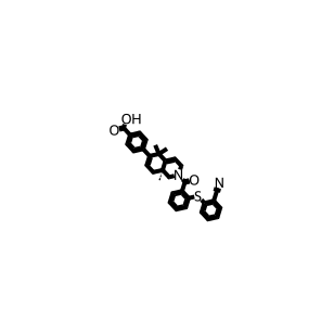 CC1(C)C(c2ccc(C(=O)O)cc2)=CC[C@]2(C)CN(C(=O)c3ccccc3Sc3ccccc3C#N)CC=C12